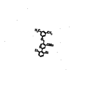 CCc1cccc(CC)c1-c1cc(OC)c(COc2cc(C)cc(C)c2)cn1